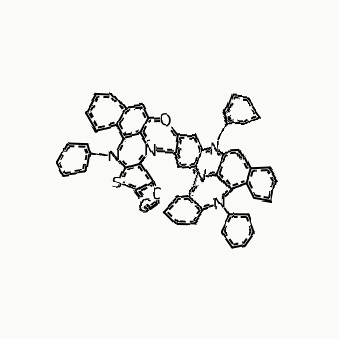 c1ccc(-n2c3cc4oc5cc6ccccc6c6c5n(c4cc3n3c4ccccc4n(-c4ccccc4)c4c5ccccc5cc2c43)c2c3ccccc3sc2n6-c2ccccc2)cc1